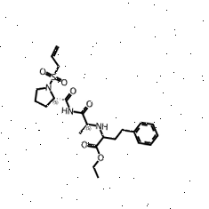 C=CCS(=O)(=O)N1CCC[C@H]1C(=O)NC(=O)[C@H](C)NC(CCc1ccccc1)C(=O)OCC